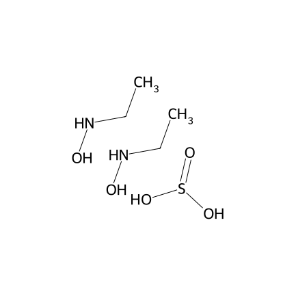 CCNO.CCNO.O=S(O)O